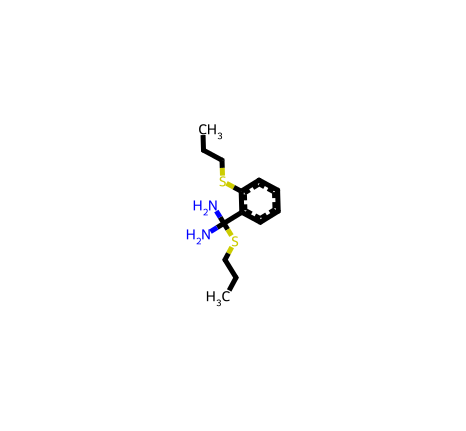 CCCSc1ccccc1C(N)(N)SCCC